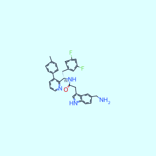 Cc1ccc(-c2cccnc2[C@H](Cc2cc(F)cc(F)c2)NC(=O)Cc2c[nH]c3ccc(CN)cc23)cc1